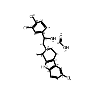 CC1c2[nH]c3ccc(Cl)cc3c2CCN1CC(O)c1ccc(Cl)c(Cl)c1.O=CO